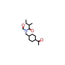 CCC(C)C(=O)N(C=O)CC1CCC(C(C)=O)CC1